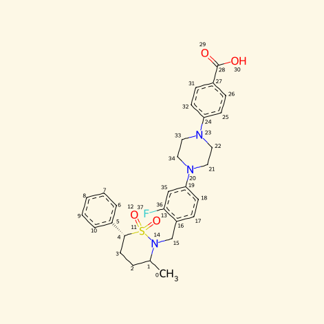 CC1CC[C@H](c2ccccc2)S(=O)(=O)N1Cc1ccc(N2CCN(c3ccc(C(=O)O)cc3)CC2)cc1F